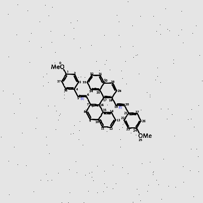 COc1ccc(/C=C/c2ccc3ccccc3c2-c2c(/C=C/c3ccc(OC)cc3)ccc3ccccc23)cc1